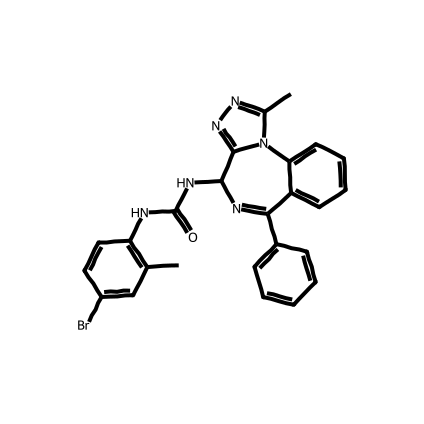 Cc1cc(Br)ccc1NC(=O)NC1N=C(c2ccccc2)c2ccccc2-n2c(C)nnc21